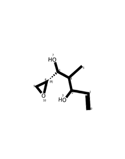 C=CC(O)C(C)C(O)[C@H]1CO1